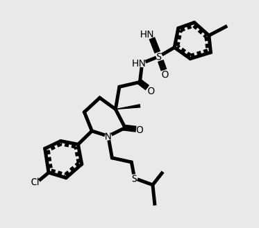 Cc1ccc(S(=N)(=O)NC(=O)C[C@@]2(C)CCC(c3ccc(Cl)cc3)N(CCSC(C)C)C2=O)cc1